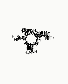 CC(=O)N[C@@H](CCCNC(=N)N)C(=O)N[C@H]1CSSC[C@@H](C(N)=O)NC(=O)[C@H](Cc2c[nH]c3ccccc23)NC(=O)[C@H](CCCNC(=N)N)NC(=O)[C@@H](Cc2ccccc2)NC(=O)[C@H](CCCNC(=N)N)NC(=O)[C@@H](C)NC1=O